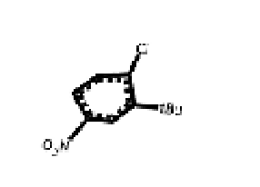 CC(C)(C)c1cc([N+](=O)[O-])ccc1Cl